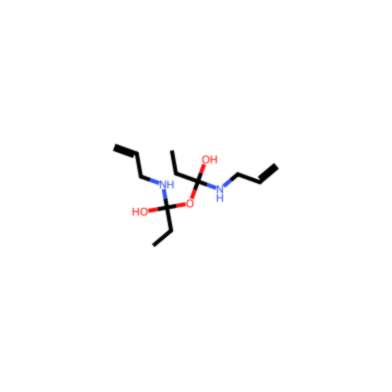 C=CCNC(O)(CC)OC(O)(CC)NCC=C